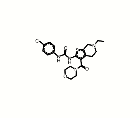 CCN1CCc2c(sc(NC(=O)Nc3ccc(Cl)cc3)c2C(=O)N2CCOCC2)C1